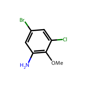 COc1c(N)cc(Br)cc1Cl